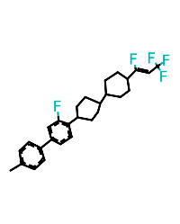 Cc1ccc(-c2ccc(C3CCC(C4CCC(/C(F)=C/C(F)(F)F)CC4)CC3)c(F)c2)cc1